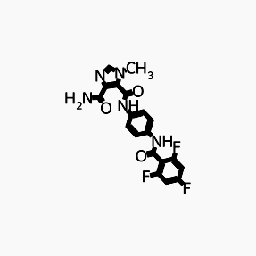 Cn1cnc(C(N)=O)c1C(=O)Nc1ccc(NC(=O)c2c(F)cc(F)cc2F)cc1